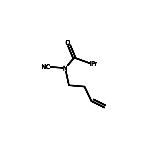 C=CCCN(C#N)C(=O)C(C)C